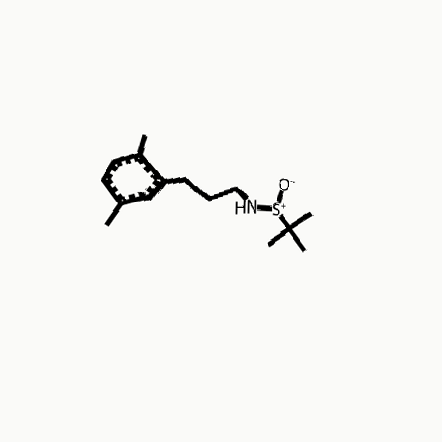 Cc1ccc(C)c(CCCN[S+]([O-])C(C)(C)C)c1